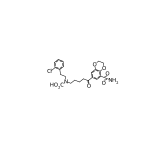 NS(=O)(=O)c1cc(C(=O)CCCCN(CCc2ccccc2Cl)C(=O)O)cc2c1OCCO2